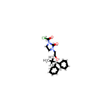 CC(C)(C)[Si](OCCN1CCN(C(=O)Cl)C1=O)(c1ccccc1)c1ccccc1